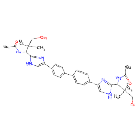 CC(C)(C)C(=O)NC(c1nc(-c2ccc(-c3ccc(-c4c[nH]c(C(NC(=O)C(C)(C)C)C(C)(C)CO)n4)cc3)cc2)c[nH]1)C(C)(C)CO